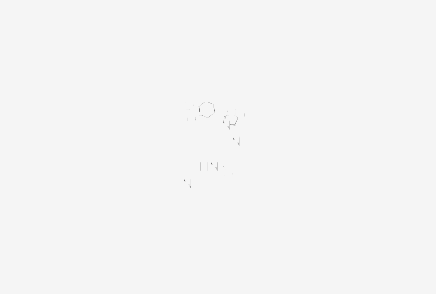 Cc1oc(-c2ccc3c(c2)OCO3)nc1CN1CCC(C(=O)NCCCN2CCCCCC2)CC1